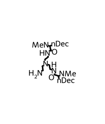 CCCCCCCCCCC(NC)C(=O)NCCN(CCN)CCNC(=O)C(CCCCCCCCCC)NC